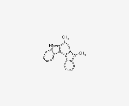 Cc1cc2c(c3ccccc3n2C)c2c1[nH]c1ccccc12